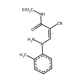 CCOC(=O)NC(=O)/C(C#N)=C\N(N)c1ccccc1C